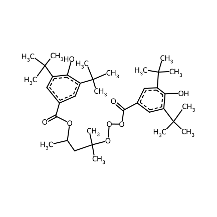 CC(CC(C)(C)OOOC(=O)c1cc(C(C)(C)C)c(O)c(C(C)(C)C)c1)OC(=O)c1cc(C(C)(C)C)c(O)c(C(C)(C)C)c1